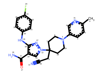 Cc1ccc(N2CCC(CC#N)(n3cc(C(N)=O)c(Nc4ccc(F)cc4)n3)CC2)cn1